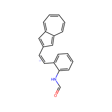 O=CNc1ccccc1/C=C\c1cc2cccccc-2c1